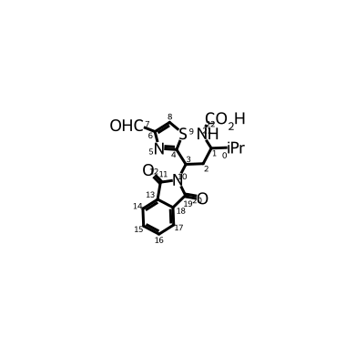 CC(C)C(CC(c1nc(C=O)cs1)N1C(=O)c2ccccc2C1=O)NC(=O)O